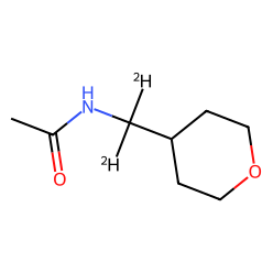 [2H]C([2H])(NC(C)=O)C1CCOCC1